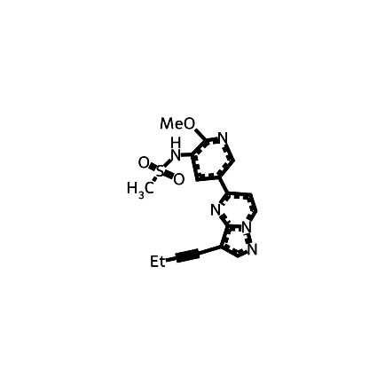 CCC#Cc1cnn2ccc(-c3cnc(OC)c(NS(C)(=O)=O)c3)nc12